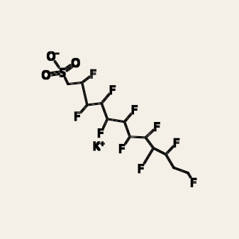 O=S(=O)([O-])CC(F)C(F)C(F)C(F)C(F)C(F)C(F)C(F)C(F)CCF.[K+]